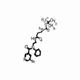 CC(C)(C)OC(=O)NCCC(=O)NCCN(C(=O)c1cncc(Br)c1)c1ccccc1